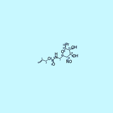 C=CCOC(=O)NCC1O[C@@H](C(C)C)C(O)C(O)[C@@H]1N=O